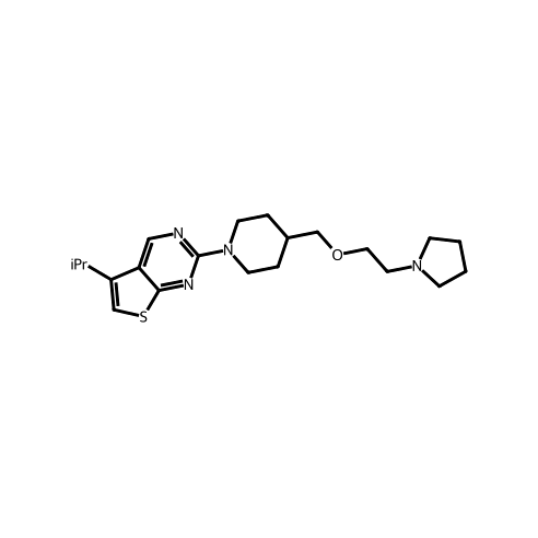 CC(C)c1csc2nc(N3CCC(COCCN4CCCC4)CC3)ncc12